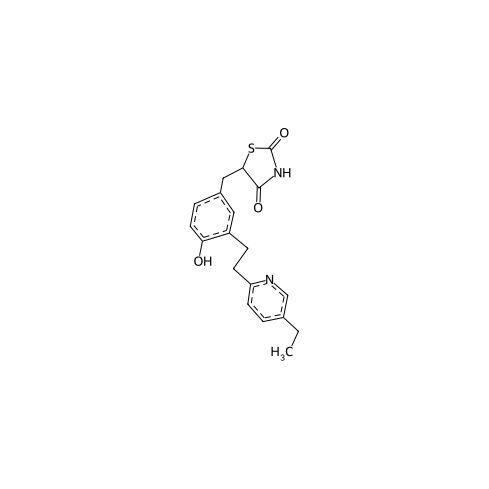 CCc1ccc(CCc2cc(CC3SC(=O)NC3=O)ccc2O)nc1